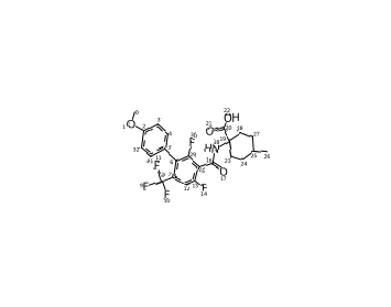 COc1ccc(-c2c(C(F)(F)F)cc(F)c(C(=O)NC3(C(=O)O)CCC(C)CC3)c2F)cc1